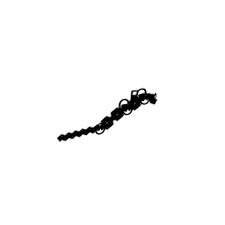 CCCCCCCCCCCCOc1ccc(-c2ccc(C(=O)Oc3ccc(C(=O)OC[C@@H](C)CC)c(F)c3)cc2)cc1